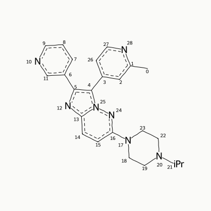 Cc1cc(-c2c(-c3cccnc3)nc3ccc(N4CCN(C(C)C)CC4)nn23)ccn1